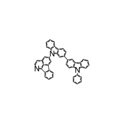 c1ccc(-n2c3ccccc3c3cc(-c4ccc5c6ccccc6n(-c6cc7c8c(nccc8c6)-c6ccccc6-7)c5c4)ccc32)cc1